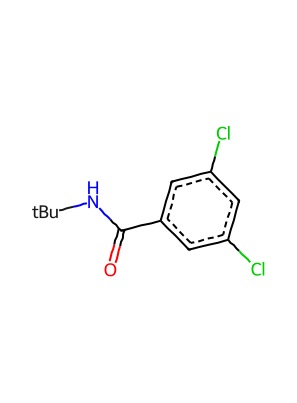 CC(C)(C)NC(=O)c1cc(Cl)cc(Cl)c1